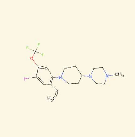 C=Cc1cc(I)c(OC(F)(F)F)cc1N1CCC(N2CCN(C)CC2)CC1